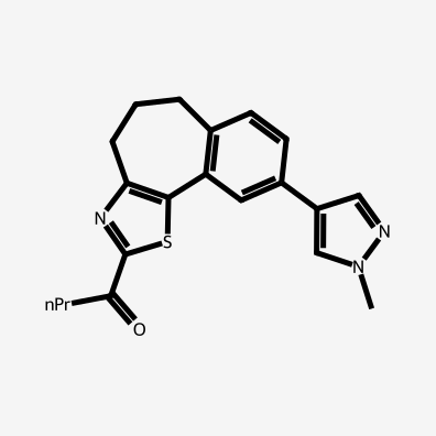 CCCC(=O)c1nc2c(s1)-c1cc(-c3cnn(C)c3)ccc1CCC2